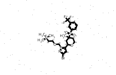 CC1(S(=O)(=O)c2cccc(C(F)(F)F)c2)CCOC(c2cc(Br)nn2COCC[Si](C)(C)C)C1